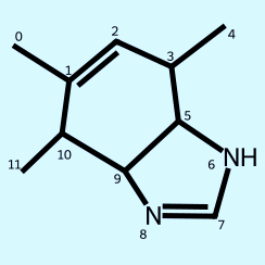 CC1=CC(C)C2NC=NC2C1C